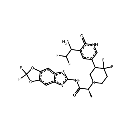 C[C@@H](C(=O)Nc1nc2cc3c(cc2s1)OC(F)(F)O3)N1CCC(F)(F)C(c2c[nH]c(=O)c(C(N)C(F)F)c2)C1